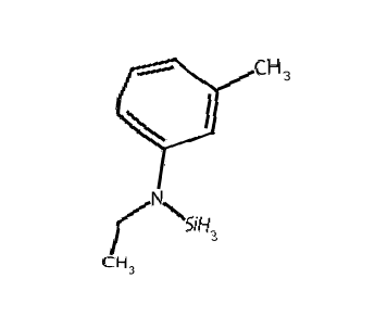 CCN([SiH3])c1cccc(C)c1